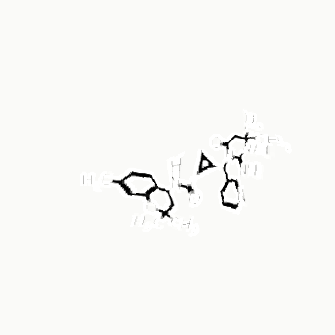 Cc1ccc2c(c1)OC(C)(C)C[C@H]2NC(=O)[C@@H]1CC1[C@@H](c1cccnc1)N1C(=N)NC(C)(C)CC1=O